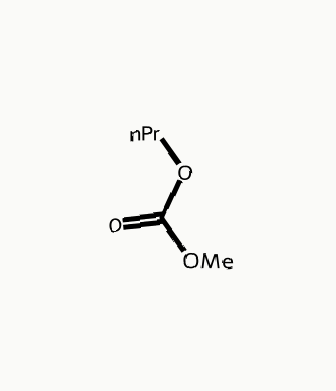 C[CH]COC(=O)OC